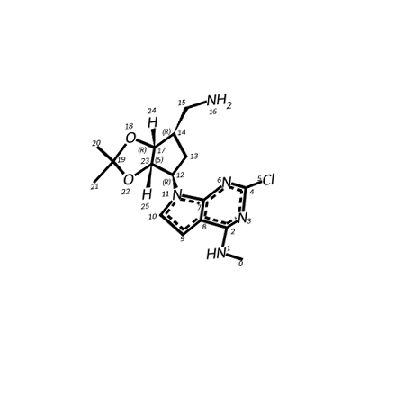 CNc1nc(Cl)nc2c1ccn2[C@@H]1C[C@H](CN)[C@H]2OC(C)(C)O[C@H]21